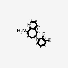 N[C@@H]1CC[C@H](c2cccc(F)c2F)Cc2cccnc21